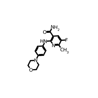 Cc1nc(Nc2ccc(N3CCOCC3)cc2)c(C(N)=O)cc1F